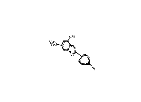 Oc1cc(O)c2cc(-c3ccc(I)cc3)oc2c1